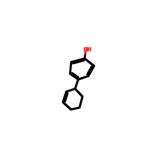 Oc1ccc(C2C=CCCC2)cc1